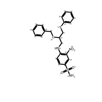 NS(=O)(=O)c1ccc(NCC(CSc2ccccc2)OCc2ccccc2)c([N+](=O)[O-])c1